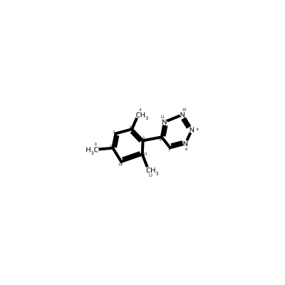 Cc1cc(C)c(-c2cnnnn2)c(C)c1